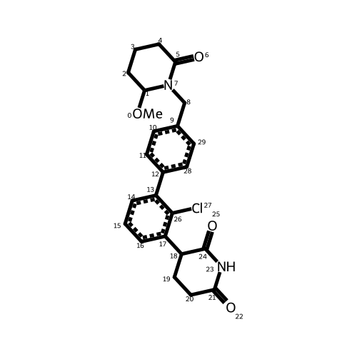 COC1CCCC(=O)N1Cc1ccc(-c2cccc(C3CCC(=O)NC3=O)c2Cl)cc1